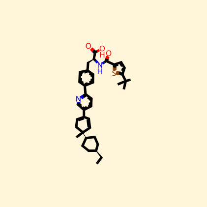 CC[C@H]1CC[C@H](C2(C)C=CC(c3ccc(-c4ccc(C[C@H](NC(=O)c5ccc(C(C)(C)C)s5)C(=O)O)cc4)nc3)=CC2)CC1